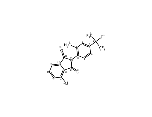 Cc1cc(C(F)(C(F)(F)F)C(F)(F)F)ccc1N1C(=O)c2cccc(Cl)c2C1=O